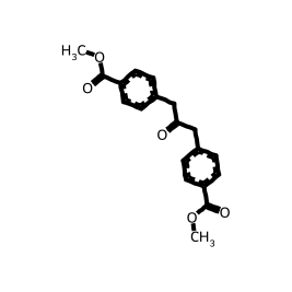 COC(=O)c1ccc(CC(=O)Cc2ccc(C(=O)OC)cc2)cc1